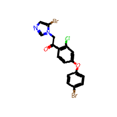 O=C(Cn1cncc1Br)c1ccc(Oc2ccc(Br)cc2)cc1Cl